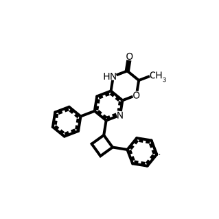 CC1Oc2nc(C3CCC3c3cc[c]cc3)c(-c3ccccc3)cc2NC1=O